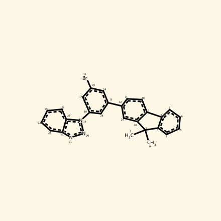 CC1(C)c2ccccc2-c2ccc(-c3cc(Br)cc(-n4nnc5ccccc54)c3)cc21